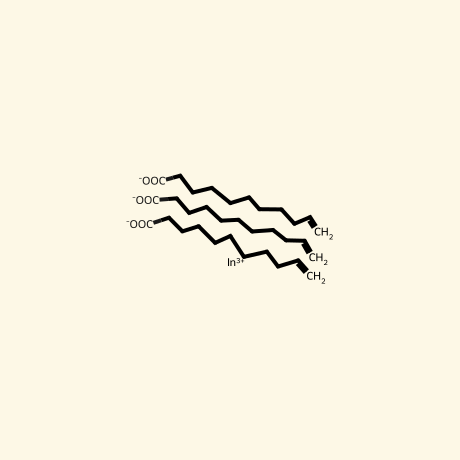 C=CCCCCCCCCC(=O)[O-].C=CCCCCCCCCC(=O)[O-].C=CCCCCCCCCC(=O)[O-].[In+3]